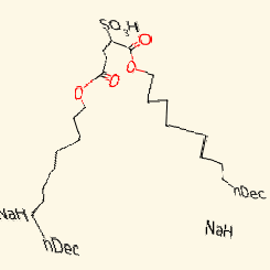 CCCCCCCCCCCCCCCCCCOC(=O)CC(C(=O)OCCCCCCCCCCCCCCCCCC)S(=O)(=O)O.[NaH].[NaH]